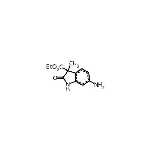 CCOC(=O)C1(C)C(=O)Nc2cc(N)ccc21